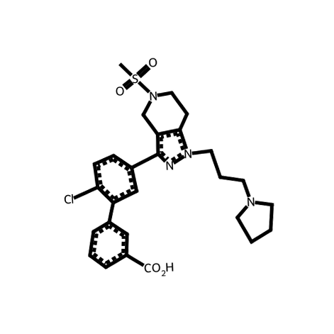 CS(=O)(=O)N1CCc2c(c(-c3ccc(Cl)c(-c4cccc(C(=O)O)c4)c3)nn2CCCN2CCCC2)C1